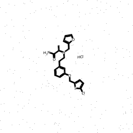 CC(C(N)=O)N(CCc1cccc(OCc2ccc(Cl)s2)c1)Cc1ccco1.Cl